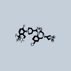 C=Cc1c(C(F)(F)F)ccc(F)c1N1CCC(c2nnc3n2-c2ccc(Cl)cc2CN(C2CS(=O)(=O)C2)C3)CC1